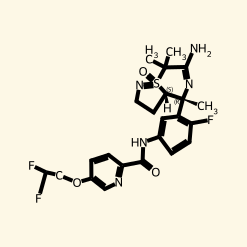 CC1(C)C(N)=N[C@](C)(c2cc(NC(=O)c3ccc(OCC(F)F)cn3)ccc2F)[C@@H]2CCN=S21=O